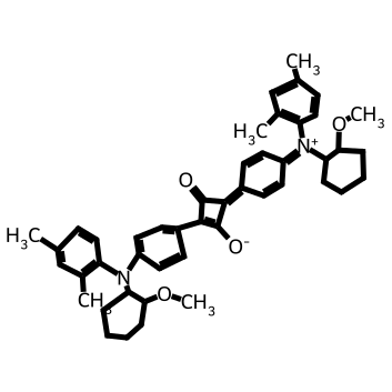 COC1CCCCC1N(c1ccc(C2=C([O-])C(=C3C=CC(=[N+](c4ccc(C)cc4C)C4CCCCC4OC)C=C3)C2=O)cc1)c1ccc(C)cc1C